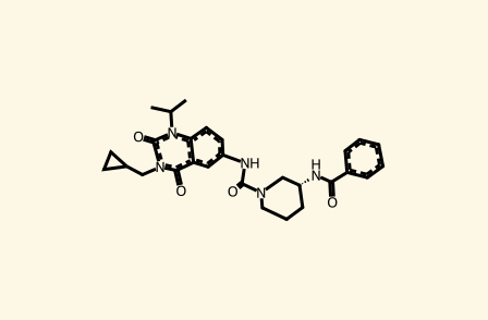 CC(C)n1c(=O)n(CC2CC2)c(=O)c2cc(NC(=O)N3CCC[C@@H](NC(=O)c4ccccc4)C3)ccc21